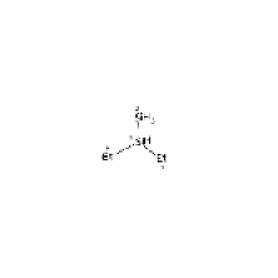 C[CH][SiH]([SiH3])CC